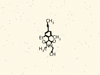 C#CCN1C(=O)C(c2c(C)cc(C#CC)cc2CC)C(=O)N1C